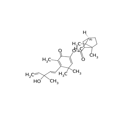 C=CC(C)(O)C=CC1=C(C)C(=O)C(OC(=O)C2C[C@H]3CCC2(C)C3(C)C)=CC1(C)C